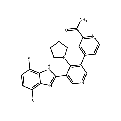 Cc1ccc(F)c2[nH]c(-c3cncc(-c4ccnc(C(N)=O)c4)c3N3CCCC3)nc12